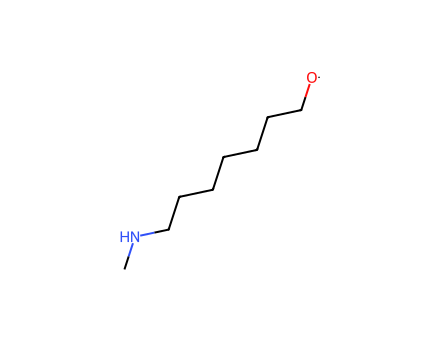 CNCCCCCCC[O]